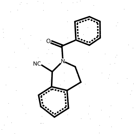 N#CC1c2ccccc2CCN1C(=O)c1ccccc1